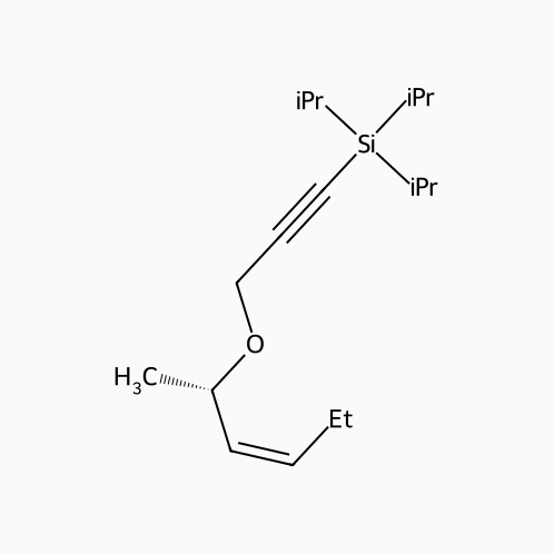 CC/C=C\[C@H](C)OCC#C[Si](C(C)C)(C(C)C)C(C)C